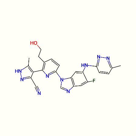 Cc1ccc(Nc2cc3c(cc2F)ncn3-c2ccc(CCO)c(-c3c(C#N)n[nH]c3C)n2)nn1